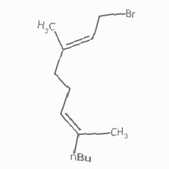 CCCCC(C)=CCCC(C)=CCBr